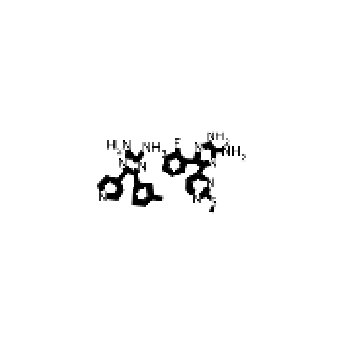 CSc1nccc(-c2nc(N)c(N)nc2-c2ccccc2F)n1.Cc1cccc(-c2nc(N)c(N)nc2-c2ccncc2)c1